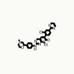 CCn1c(=O)c(-c2ccc(-c3ncccn3)cc2Cl)cc2cnc(Nc3ccc(C4CN(C)CCO4)cc3)nc21